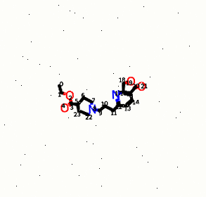 CCOC(=O)C1CCN(CCCc2ccc3c(n2)COC3=O)CC1